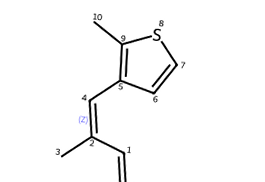 C=C/C(C)=C\c1ccsc1C